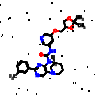 CC1(C)OCC(COc2cncc(NC(=O)N3c4nc(-c5cccc(C(F)(F)F)c5)ncc4N4CCC[C@H]3C4)c2)O1